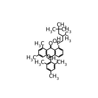 Cc1cc(C)c(C(=O)c2cccc([PH](=O)CC(C)CC(C)(C)C)c2C(=O)c2c(C)cc(C)cc2C)c(C)c1